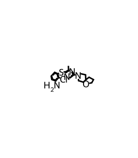 Cc1nc(N2CCC3(CCCO3)CC2)cnc1Sc1cccc(N)c1Cl